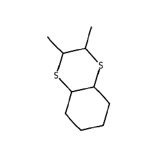 CC1SC2CCCCC2SC1C